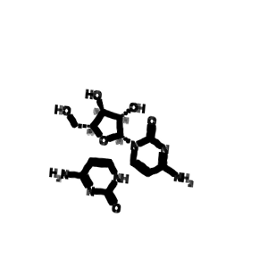 Nc1cc[nH]c(=O)n1.Nc1ccn([C@@H]2O[C@H](CO)[C@@H](O)[C@@H]2O)c(=O)n1